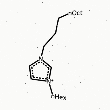 CCCCCCCCCCCn1cc[n+](CCCCCC)c1